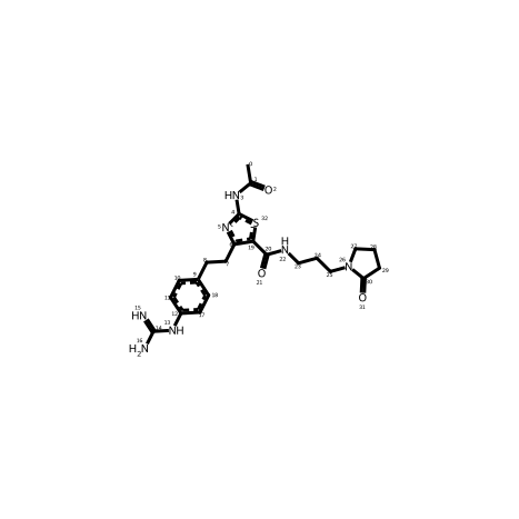 CC(=O)Nc1nc(CCc2ccc(NC(=N)N)cc2)c(C(=O)NCCCN2CCCC2=O)s1